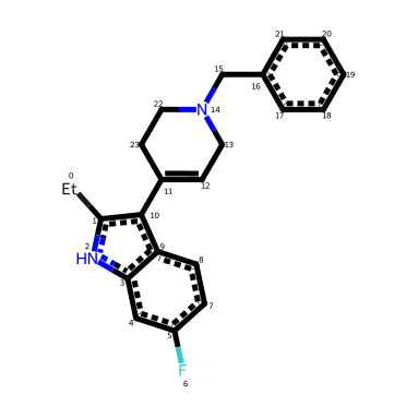 CCc1[nH]c2cc(F)ccc2c1C1=CCN(Cc2ccccc2)CC1